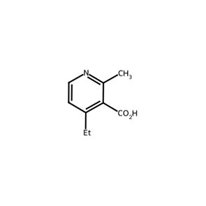 CCc1ccnc(C)c1C(=O)O